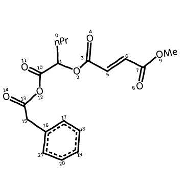 CCCC(OC(=O)/C=C/C(=O)OC)C(=O)OC(=O)Cc1ccccc1